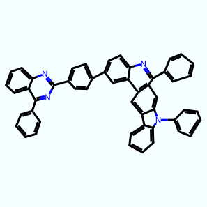 c1ccc(-c2nc(-c3ccc(-c4ccc5nc(-c6ccccc6)c6cc7c(cc6c5c4)c4ccccc4n7-c4ccccc4)cc3)nc3ccccc23)cc1